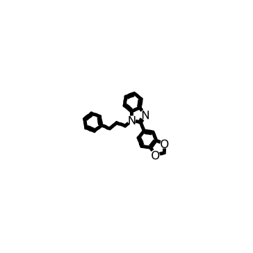 c1ccc(CCCn2c(-c3ccc4c(c3)OCO4)nc3ccccc32)cc1